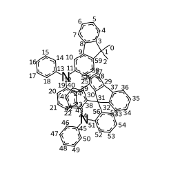 CC1(C)c2ccccc2-c2cc(N(c3ccccc3)c3ccccc3-c3cccc4c3C3(c5ccccc5-4)c4ccccc4N(c4ccccc4)c4ccccc43)ccc21